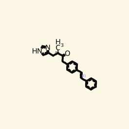 C[C@@H](Cc1c[nH]cn1)C(=O)Cc1ccc(/C=C/c2ccccc2)cc1